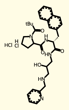 CC(C)(C)C(=O)N1CCCC1C(=O)N[C@H](Cc1ccc2ccccc2c1)C(=O)NCC(O)CNCc1ccccn1.Cl.Cl